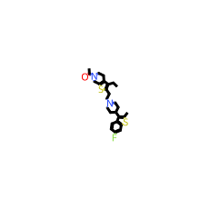 CCc1c(CCN2CCC(c3c(C)sc4cc(F)ccc34)CC2)sc2c1CCN(C(C)=O)C2